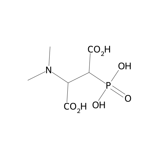 CN(C)C(C(=O)O)C(C(=O)O)P(=O)(O)O